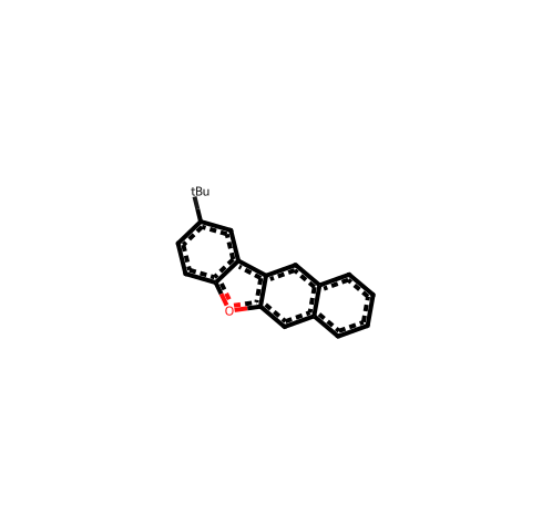 CC(C)(C)c1ccc2oc3cc4ccccc4cc3c2c1